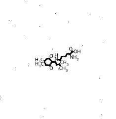 CC(C)CC(NCCCC[C@@H](N)C(=O)O)=C1C(=O)CC(C)(C)CC1=O